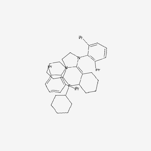 CC(C)c1cccc(C(C)C)c1N1CCN(c2c(C(C)C)cccc2C(C)C)C1=C1CCCCC1P(C1CCCCC1)C1CCCCC1